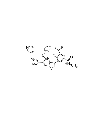 CNC(=O)c1cc(-c2cnc3cc(-c4cnn(Cc5cccnc5)c4)c(O[C@H]4CCOC4)nn23)c(F)c(C(F)F)c1